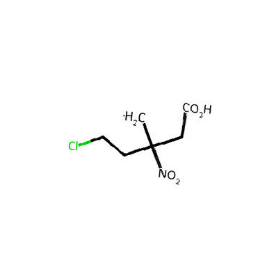 [CH2]C(CCCl)(CC(=O)O)[N+](=O)[O-]